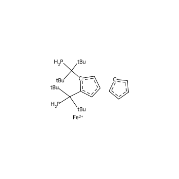 CC(C)(C)C(P)(c1ccc[c-]1C(P)(C(C)(C)C)C(C)(C)C)C(C)(C)C.[Fe+2].c1cc[cH-]c1